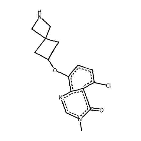 Cn1cnc2c(OC3CC4(CNC4)C3)ccc(Cl)c2c1=O